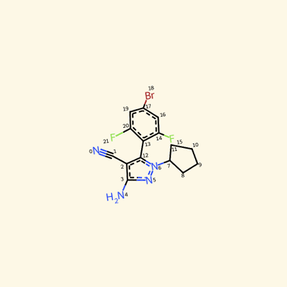 N#Cc1c(N)nn(C2CCCC2)c1-c1c(F)cc(Br)cc1F